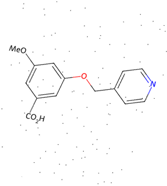 COc1cc(OCc2ccncc2)cc(C(=O)O)c1